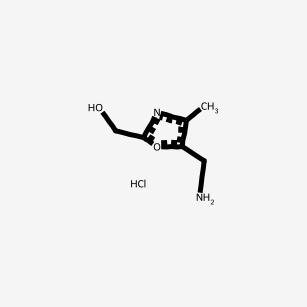 Cc1nc(CO)oc1CN.Cl